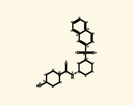 O=C(N[C@H]1CCCN(S(=O)(=O)c2ccc3ccccc3c2)C1)N1CCC(O)CC1